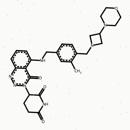 Cc1cc(CNc2cccc3nnn(C4CCC(=O)NC4=O)c(=O)c23)ccc1CN1CC(N2CCOCC2)C1